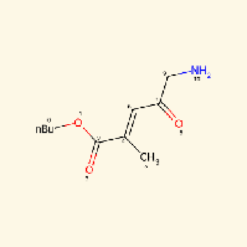 CCCCOC(=O)C(C)=CC(=O)CN